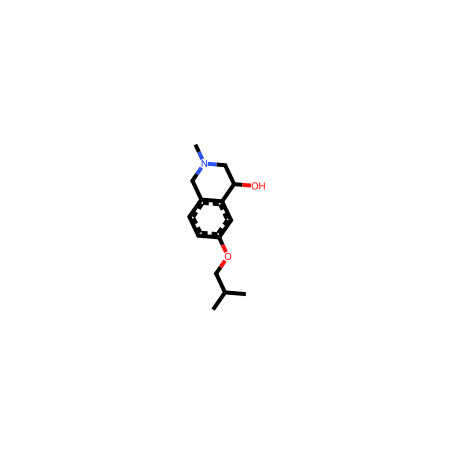 CC(C)COc1ccc2c(c1)C(O)CN(C)C2